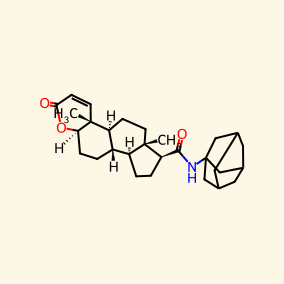 C[C@]12C=CC(=O)O[C@@H]1CC[C@@H]1[C@@H]2CC[C@]2(C)[C@@H](C(=O)NC34CC5CC(CC(C5)C3)C4)CC[C@@H]12